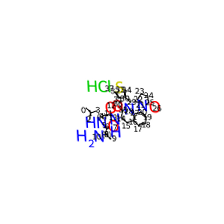 CC(C)C[C@@H](NC(=O)[C@@H](C)N)C(=O)NC1Cc2cccc(N3CCCC3=O)c2N(Cc2ccsc2)C1=O.Cl